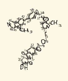 Cc1nc(C#CCOCCOc2ccc3c(c2)CN(C2CCC(=O)NC2=O)C3=O)ccc1OC1CC(Oc2ccc(-c3ccc4c5cnccc5n(C)c4c3)cn2)C1